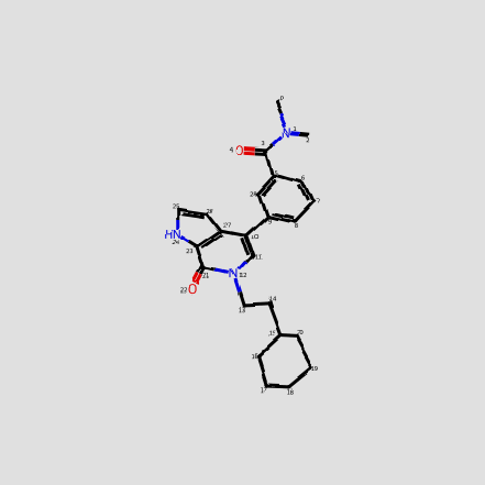 CN(C)C(=O)c1cccc(-c2cn(CCC3CCCCC3)c(=O)c3[nH]ccc23)c1